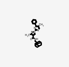 Cc1cnc(-n2cc(C(=O)NCC34CC5CC(CC(C5)C3)C4)c(C)n2)nc1-c1ccccc1